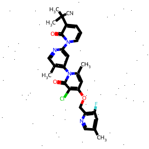 Cc1cnc(COc2cc(C)n(-c3cc(-n4cccc(C(C)(C)C#N)c4=O)ncc3C)c(=O)c2Cl)c(F)c1